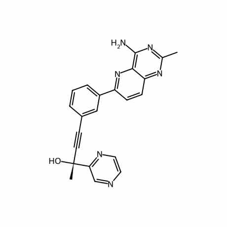 Cc1nc(N)c2nc(-c3cccc(C#C[C@@](C)(O)c4cnccn4)c3)ccc2n1